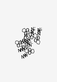 [N-]=[N+]=NC1CC(N=[N+]=[N-])[C@@H](O[C@H]2OC3COC4(CCCCC4)O[C@H]3C(OCOC3C(N=[N+]=[N-])[C@@H](O[C@@H]4C(N=[N+]=[N-])CC(N=[N+]=[N-])C5OC6(CCCCC6)OC54)OC4COC5(CCCCC5)O[C@H]43)C2N=[N+]=[N-])C2OC3(CCCCC3)OC12